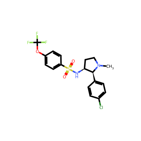 CN1CC[C@H](NS(=O)(=O)c2ccc(OC(F)(F)F)cc2)[C@@H]1c1ccc(Cl)cc1